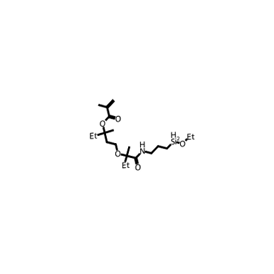 C=C(C)C(=O)OC(C)(CC)CCOC(C)(CC)C(=O)NCCC[SiH2]OCC